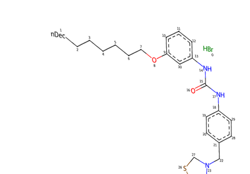 Br.CCCCCCCCCCCCCCCCOc1cccc(NC(=O)Nc2ccc(CN3C=CSC3)cc2)c1